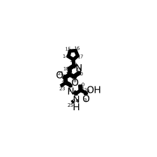 C=C(C(=O)O)/C(=N\c1oc2cnc(C3CCCC3)cc2c(=O)c1C)NC